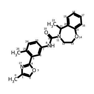 Cc1coc(-c2cc(NC(=O)N3CCOc4ccccc4C3C)ccc2C)n1